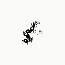 CCOC(=O)C1(c2ccc3c(c2)-c2nn(-c4ncnn4-c4ccc(F)cc4F)cc2CCO3)CCN(C(=O)OC(C)(C)C)CC1